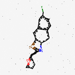 Fc1ccc2cc3nc(-c4ccco4)sc3cc2c1